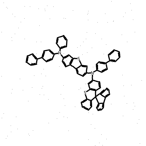 c1ccc(-c2ccc(N(c3ccccc3)c3ccc4c(c3)sc3cc(N(c5ccc(-c6ccccc6)cc5)c5ccc6c(c5)Sc5ccccc5C65c6ccccc6-c6ccccc65)ccc34)cc2)cc1